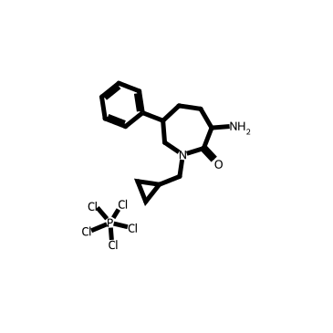 ClP(Cl)(Cl)(Cl)Cl.NC1CCC(c2ccccc2)CN(CC2CC2)C1=O